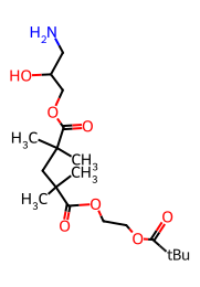 CC(C)(C)C(=O)OCCOC(=O)C(C)(C)CC(C)(C)C(=O)OCC(O)CN